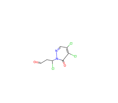 O=CCC(Cl)n1ncc(Cl)c(Cl)c1=O